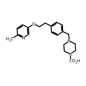 Cc1ccc(OCCc2ccc(CN3CCN(C(=O)O)CC3)cc2)cn1